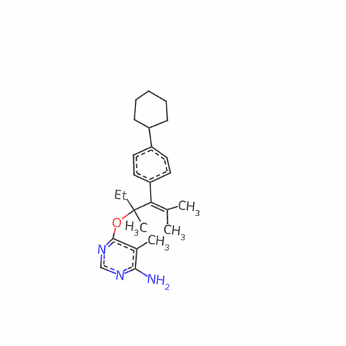 CCC(C)(Oc1ncnc(N)c1C)C(=C(C)C)c1ccc(C2CCCCC2)cc1